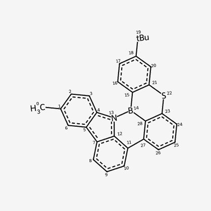 Cc1ccc2c(c1)c1cccc3c1n2B1c2ccc(C(C)(C)C)cc2Sc2cccc-3c21